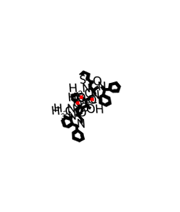 CN1c2ccccc2C(c2ccccc2)=NCC1(OC(=O)C(O)C(O)C(=O)OC1(C(N)C(=O)c2cccs2)CN=C(c2ccccc2)c2ccccc2N1C)C(N)C(=O)c1cccs1